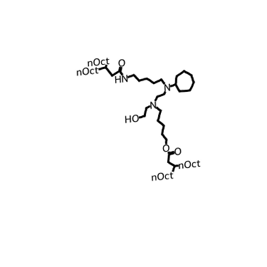 CCCCCCCCC(CCCCCCCC)CC(=O)NCCCCCN(CCN(CCO)CCCCCOC(=O)CC(CCCCCCCC)CCCCCCCC)C1CCCCCC1